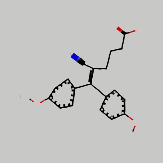 COc1ccc(C(=C(C#N)CCCC(=O)O)c2ccc(OC)cc2)cc1